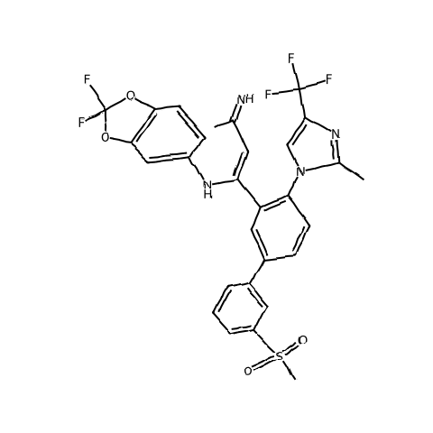 CC(=N)/C=C(\Nc1ccc2c(c1)OC(F)(F)O2)c1cc(-c2cccc(S(C)(=O)=O)c2)ccc1-n1cc(C(F)(F)F)nc1C